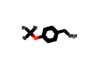 [2H]C([2H])(Oc1ccc(CC(=O)O)cc1)C(C)C